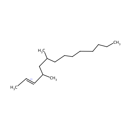 C/C=C/C(C)CC(C)CCCCCCCC